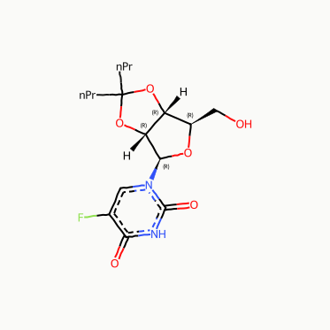 CCCC1(CCC)O[C@@H]2[C@H](O1)[C@@H](CO)O[C@H]2n1cc(F)c(=O)[nH]c1=O